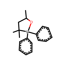 CC1CC(C)(C)[Si](c2ccccc2)(c2ccccc2)O1